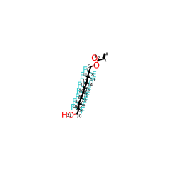 C=CC(=O)OCC(F)(F)C(F)(F)C(F)(F)C(F)(F)C(F)(F)C(F)(F)C(F)(F)C(F)(F)CO